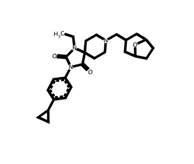 CCN1C(=O)N(c2ccc(C3CC3)cc2)C(=O)C12CCN(CC1CC3CCC(C1)O3)CC2